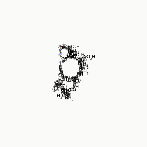 CC(=O)N1CCC[C@]12C/C=C/CCC[C@@]1(CCC/C=C/CCCOC(=O)N3CC4N[C@@H](Cc5ccccc5C)C(=O)N[C@@H](Cc5csc6ccccc56)C(=O)N[C@H](C(=O)N[C@@H](C)C(N)=O)CCC(=O)NCCCC[C@H](NC(=O)[C@H](Cc5ccccc5)NC(=O)[C@H](C)NC(=O)C(C)(C)NC(=O)[C@H](Cc5cccc(C(=O)O)c5)NC(=O)[C@H](CC(=O)O)NC1=O)C(=O)N[C@@H]4C3)NC(O)[C@H](CC(C)(C)C)NC(=O)[C@H](CC(=O)O)NC2=O